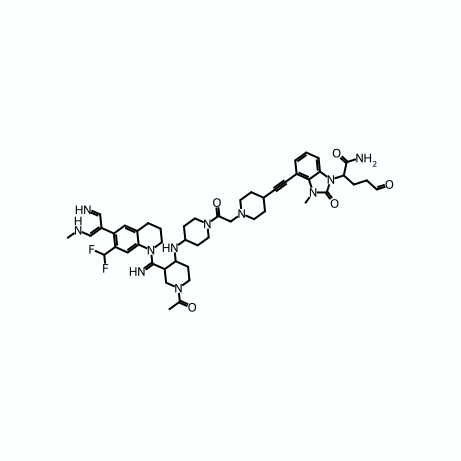 CN/C=C(\C=N)c1cc2c(cc1C(F)F)N(C(=N)C1CN(C(C)=O)CCC1NC1CCN(C(=O)CN3CCC(C#Cc4cccc5c4n(C)c(=O)n5C(CCC=O)C(N)=O)CC3)CC1)CCC2